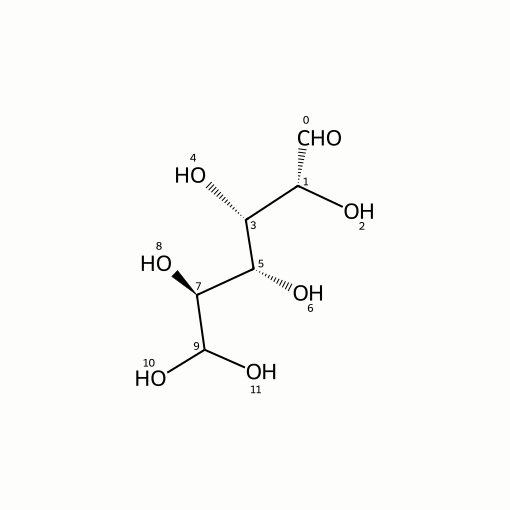 O=C[C@H](O)[C@@H](O)[C@H](O)[C@H](O)C(O)O